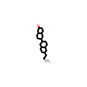 CCCC1CCC2CC(C3CCC4CC(=O)CCC4C3)CCC2C1